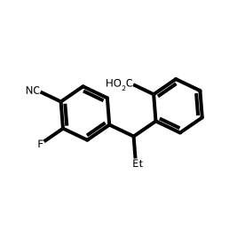 CCC(c1ccc(C#N)c(F)c1)c1ccccc1C(=O)O